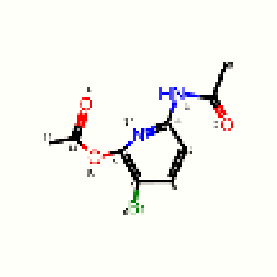 CC(=O)Nc1ccc(Br)c(OC(C)=O)n1